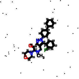 CN(Cc1cnn(-c2ccc(-c3ccccc3)cc2)c1-c1ccccc1F)C(C=O)N1CCOCC1